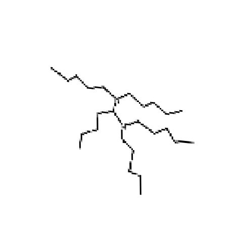 CCCCCN(CCCCC)[C](CCCC)N(CCCCC)CCCCC